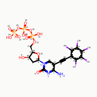 Nc1nc(=O)n([C@H]2C[C@@H](O)[C@@H](COP(=O)(O)OP(=O)(O)OP(=O)(O)O)O2)cc1C#Cc1c(I)c(I)c(I)c(I)c1I